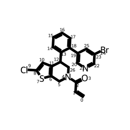 C=CC(=O)N1Cc2sc(Cl)cc2C(c2ccccc2-c2cncc(Br)c2)C1